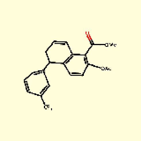 COC(=O)c1c(OC(C)=O)ccc2c1C=CCC2c1cccc(C(F)(F)F)c1